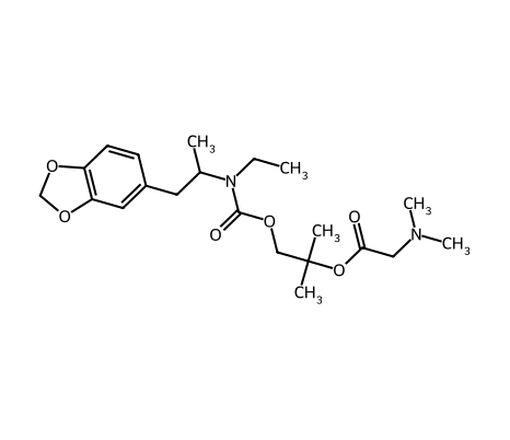 CCN(C(=O)OCC(C)(C)OC(=O)CN(C)C)C(C)Cc1ccc2c(c1)OCO2